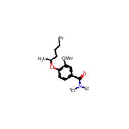 CCN(CC)C(=O)c1ccc(OC(C)CCCC(C)C)c(OC)c1